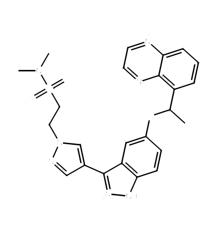 CC(Oc1ccc2[nH]nc(-c3cnn(CCS(=O)(=O)N(C)C)c3)c2c1)c1cccc2nccnc12